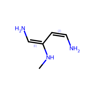 CNC(/C=C\N)=C/N